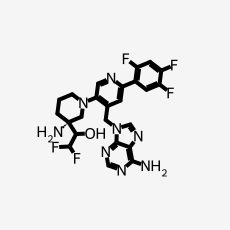 Nc1ncnc2c1ncn2Cc1cc(-c2cc(F)c(F)cc2F)ncc1N1CCC[C@](N)(C(O)C(F)F)C1